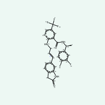 C[C@H](NC(=O)c1cc(C(F)(F)F)cnc1NC/C=C/c1ccc2c(c1)NC(=O)C2)c1ccc(F)c(F)c1